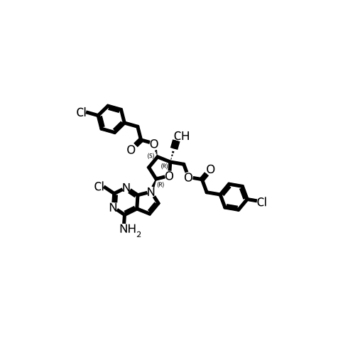 C#C[C@]1(COC(=O)Cc2ccc(Cl)cc2)O[C@@H](n2ccc3c(N)nc(Cl)nc32)C[C@@H]1OC(=O)Cc1ccc(Cl)cc1